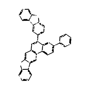 c1ccc(-c2ccc3c(c2)c(-c2ccc4oc5ccccc5c4c2)cc2cc4sc5ccccc5c4cc23)cc1